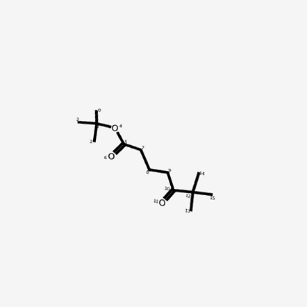 CC(C)(C)OC(=O)CCCC(=O)C(C)(C)C